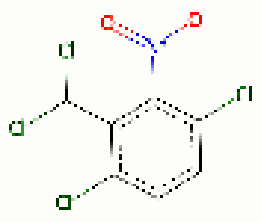 O=[N+]([O-])c1c(Cl)ccc(Cl)c1C(Cl)Cl